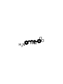 Nc1ccc(CC=Cc2cc(-c3ccc(Cl)c(Cl)c3)n[nH]2)cc1